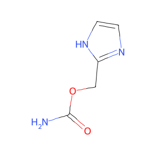 NC(=O)OCc1ncc[nH]1